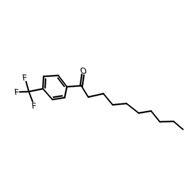 CCCCCCCCCC(=O)c1ccc(C(F)(F)F)cc1